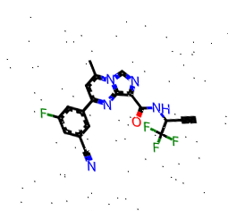 C#CC(NC(=O)c1ncn2c(C)cc(-c3cc(F)cc(C#N)c3)nc12)C(F)(F)F